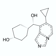 O[C@H](c1c(C2CC2)ccn2cncc12)[C@H]1CC[C@@H](O)CC1